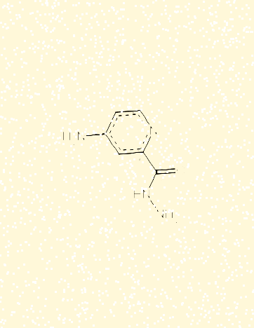 NNC(=O)c1cc(N)ccn1